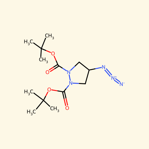 CC(C)(C)OC(=O)N1CC(N=[N+]=[N-])CN1C(=O)OC(C)(C)C